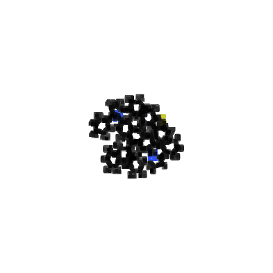 c1ccc(-c2ccc(-c3ccccc3)n2-c2ccc3c(-c4cccc5sc6ccccc6c45)c4cc(-n5c(-c6ccccc6)ccc5-c5ccccc5)ccc4c(-c4ccc5ccccc5c4)c3c2)cc1